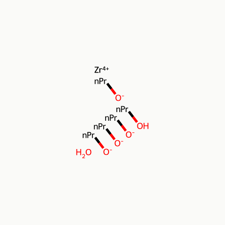 CCCO.CCC[O-].CCC[O-].CCC[O-].CCC[O-].O.[Zr+4]